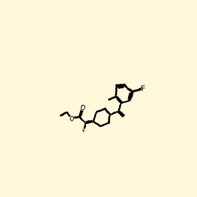 C=C(c1cc(F)ccc1C)C1CCC(=C(F)C(=O)OCC)CC1